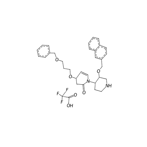 O=C(O)C(F)(F)F.O=C1CC(OCCCOCc2ccccc2)C=CN1C1CCNCC1OCc1ccc2ccccc2c1